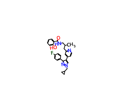 CC(CNC(=O)c1ccccc1O)Cc1cc(-c2cn(CC3CC3)nc2-c2ccc(F)cc2)ccn1